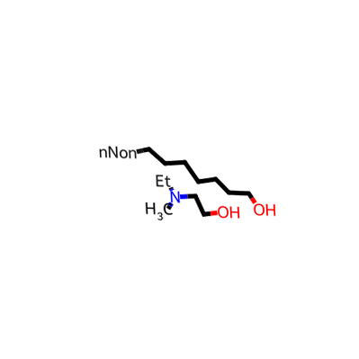 CCCCCCCCCCCCCCCCO.CCN(C)CCO